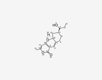 CCC(O)[C@H]1CCC2=Cc3c(cc(C)oc3=O)O[C@H]2C1